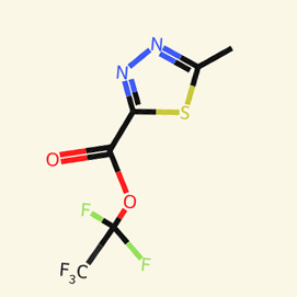 Cc1nnc(C(=O)OC(F)(F)C(F)(F)F)s1